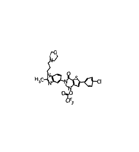 Cc1nc2cc(N3CN(OC(=O)C(F)(F)F)c4cc(-c5ccc(Cl)cc5)sc4C3=O)ccc2n1CCCN1CCOCC1